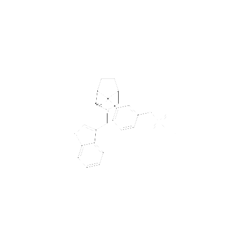 COC1(c2cccc(NS(C)(=O)=O)c2)C2CCC1CN(Cc1c[nH]c3ccccc13)C2